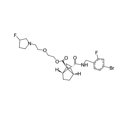 O=C(OCCOCCN1CCC(F)C1)[C@H]1[C@H](C(=O)NCc2ccc(Br)cc2F)[C@@H]2CC[C@H]1C21CC1